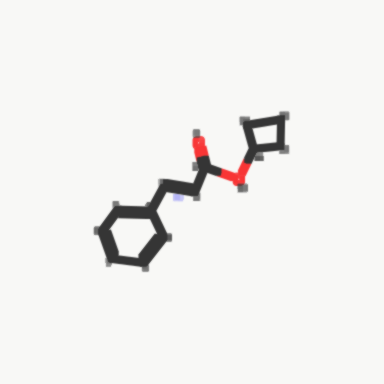 O=C(/C=C/c1ccccc1)OC1CCC1